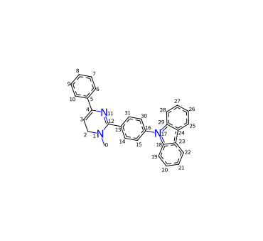 CN1CC=C(c2ccccc2)N=C1c1ccc(-n2c3ccccc3c3ccccc32)cc1